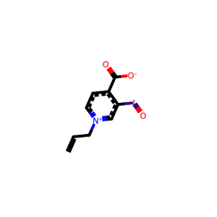 C=CC[n+]1ccc(C(=O)[O-])c(I=O)c1